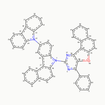 c1ccc(-c2nc(-n3c4ccc(-n5c6ccccc6c6ccccc65)cc4c4c5ccccc5ccc43)nc3c2oc2ccc4ccccc4c23)cc1